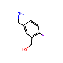 NCc1ccc(I)c(CO)c1